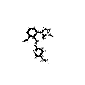 C=Cc1cccc(-n2nnn(C)c2=O)c1COc1ccc(P)cn1